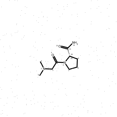 CN(C)CC(=O)N1CC[CH][C@H]1C(N)=O